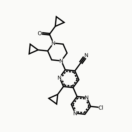 N#Cc1cc(-c2cncc(Cl)n2)c(C2CC2)nc1N1CCN(C(=O)C2CC2)C(C2CC2)C1